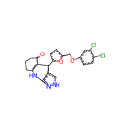 O=C1CCCC2=C1C(c1ccc(COc3ccc(Cl)c(Cl)c3)o1)c1c[nH]nc1N2